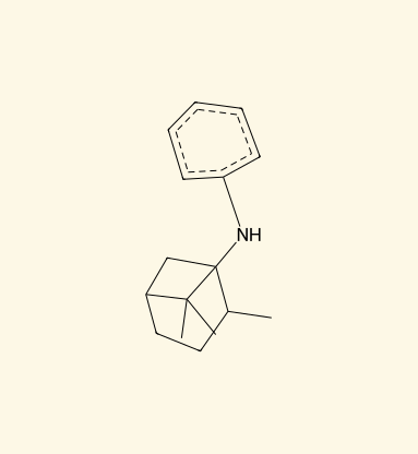 CC1CCC2CC1(Nc1ccccc1)C2(C)C